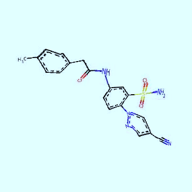 Cc1ccc(CC(=O)Nc2ccc(-n3cc(C#N)cn3)c(S(N)(=O)=O)c2)cc1